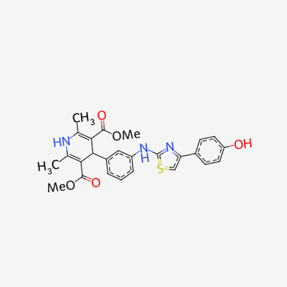 COC(=O)C1=C(C)NC(C)=C(C(=O)OC)C1c1cccc(Nc2nc(-c3ccc(O)cc3)cs2)c1